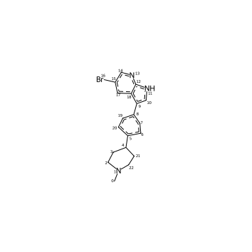 CN1CCC(c2ccc(-c3c[nH]c4ncc(Br)cc34)cc2)CC1